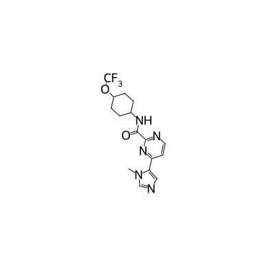 Cn1cncc1-c1ccnc(C(=O)NC2CCC(OC(F)(F)F)CC2)n1